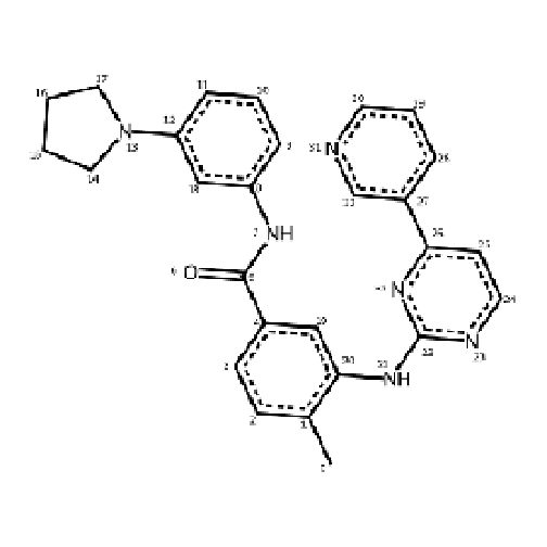 Cc1ccc(C(=O)Nc2cccc(N3CCCC3)c2)cc1Nc1nccc(-c2cccnc2)n1